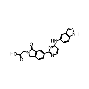 O=C(O)CN1Cc2ccc(-c3nccc(Nc4ccc5[nH]ncc5c4)n3)cc2C1=O